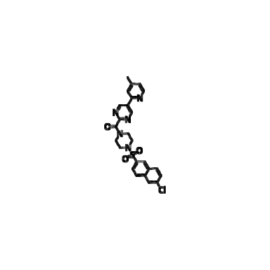 Cc1ccnc(-c2cnc(C(=O)N3CCN(S(=O)(=O)c4ccc5cc(Cl)ccc5c4)CC3)nc2)c1